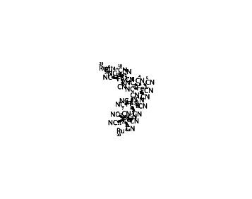 N#[C][Fe-3]([C]#N)([C]#N)([C]#N)([C]#N)[C]#N.N#[C][Fe-3]([C]#N)([C]#N)([C]#N)([C]#N)[C]#N.N#[C][Fe-3]([C]#N)([C]#N)([C]#N)([C]#N)[C]#N.N#[C][Fe-3]([C]#N)([C]#N)([C]#N)([C]#N)[C]#N.[Ru+4].[Ru+4].[Ru+4]